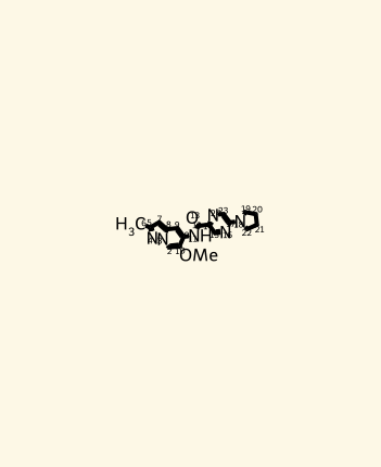 COc1cn2nc(C)cc2cc1NC(=O)c1cnc(N2CCCC2)cn1